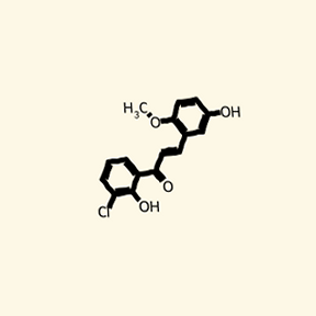 COc1ccc(O)cc1/C=C/C(=O)c1cccc(Cl)c1O